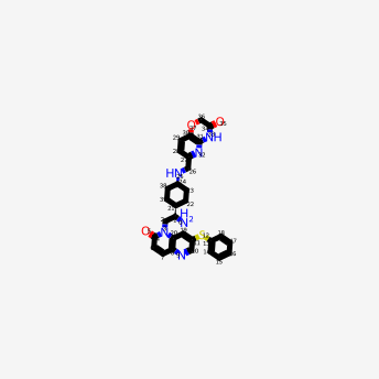 NC(Cn1c(=O)ccc2ncc(Sc3ccccc3)cc21)[C@H]1CC[C@H](NCc2ccc3c(n2)NC(=O)CO3)CC1